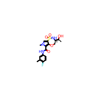 Cc1cc(NC(=O)c2c3c(cn2C)S(=O)(=O)N[C@@H]([C@H](C)O)CO3)ccc1F